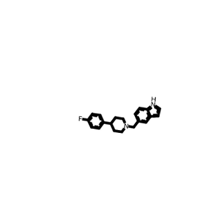 Fc1ccc(C2CCN(Cc3ccc4[nH]ccc4c3)CC2)cc1